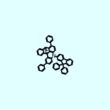 c1ccc(-c2ccc3c(c2)C24CCC(c5ccccc52)c2c(-c5ccccc5)ccc(c24)N3c2ccc3c(c2)C(c2ccccc2)(c2ccccc2)c2ccccc2-3)cc1